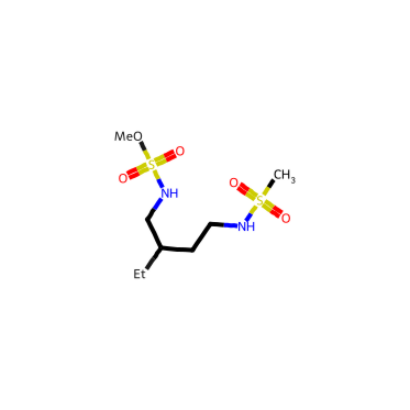 CCC(CCNS(C)(=O)=O)CNS(=O)(=O)OC